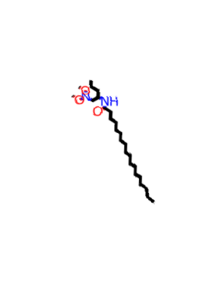 CCCCCCCCCCCCCCCCCC(=O)NC(CCC)CN(OC)OC